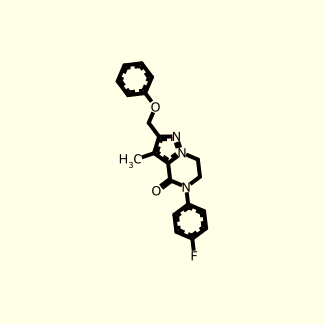 Cc1c(COc2ccccc2)nn2c1C(=O)N(c1ccc(F)cc1)CC2